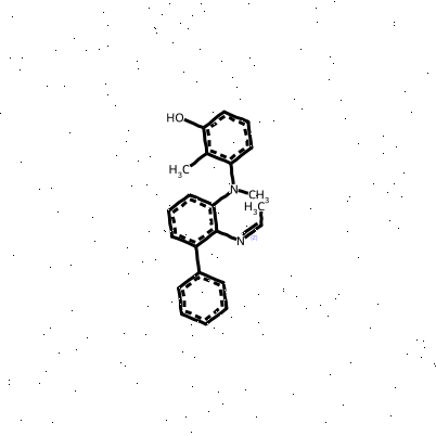 C/C=N\c1c(-c2ccccc2)cccc1N(C)c1cccc(O)c1C